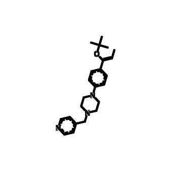 C/C=C(\OC(C)(C)C)c1ccc(N2CCN(Cc3ccncc3)CC2)cc1